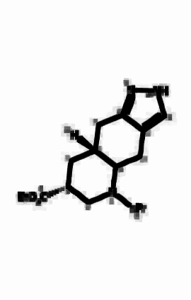 CCCN1C[C@H](C(=O)OCC)C[C@@H]2Cc3n[nH]cc3CC21